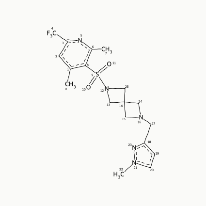 Cc1cc(C(F)(F)F)nc(C)c1S(=O)(=O)N1CC2(CN(Cc3ccn(C)n3)C2)C1